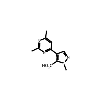 Cc1cc(-c2cnn(C)c2C(=O)O)nc(C)n1